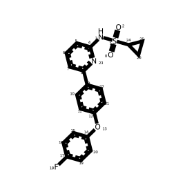 O=S(=O)(Nc1cccc(-c2ccc(Oc3ccc(F)cc3)cc2)n1)C1CC1